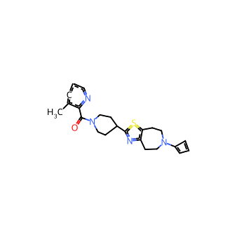 Cc1cccnc1C(=O)N1CCC(c2nc3c(s2)CCN(C2=CC=C2)CC3)CC1